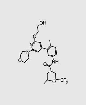 Cc1ccc(NC(=O)N2CC(C)OC(C(F)(F)F)C2)cc1-c1cc(OCCO)nc(N2CCOCC2)c1